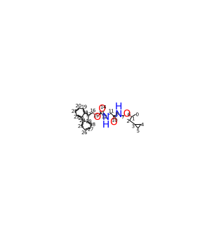 CC(CC1CC1)OCNC(=O)CNC(=O)OCC1c2ccccc2-c2ccccc21